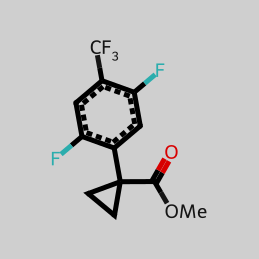 COC(=O)C1(c2cc(F)c(C(F)(F)F)cc2F)CC1